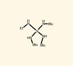 CCN[Si](NC(C)(C)C)(NC(C)(C)C)NC(C)(C)C